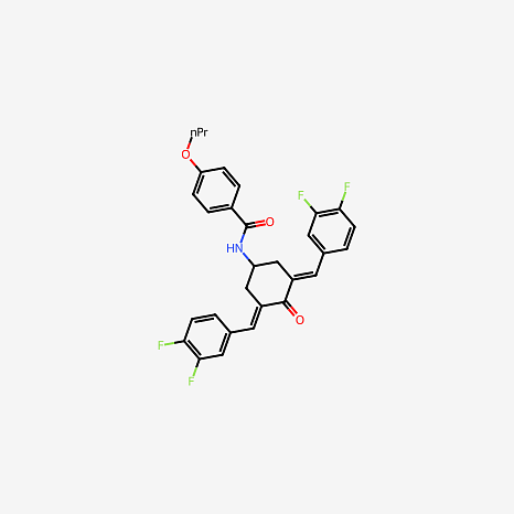 CCCOc1ccc(C(=O)NC2C/C(=C\c3ccc(F)c(F)c3)C(=O)/C(=C/c3ccc(F)c(F)c3)C2)cc1